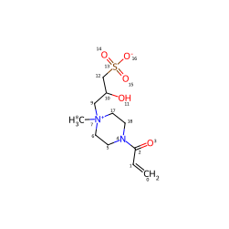 C=CC(=O)N1CC[N+](C)(CC(O)CS(=O)(=O)[O-])CC1